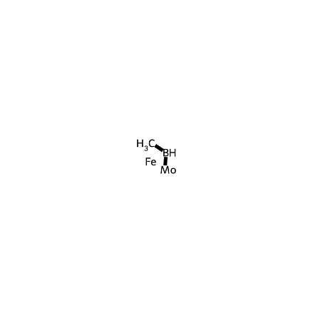 C[BH][Mo].[Fe]